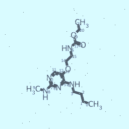 CCCCNc1nc(NC)ncc1OCCNC(=O)OCC